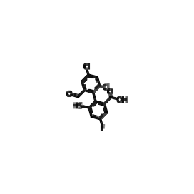 O=Cc1cc(Cl)cc(Cl)c1-c1c(S)cc(F)cc1C(=O)O